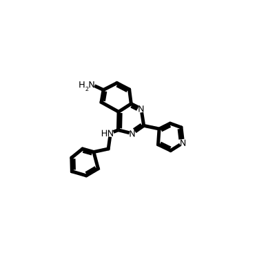 Nc1ccc2nc(-c3ccncc3)nc(NCc3ccccc3)c2c1